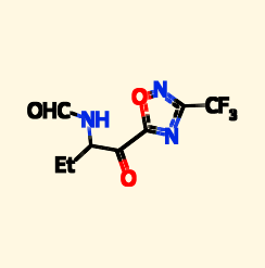 CCC(NC=O)C(=O)c1nc(C(F)(F)F)no1